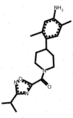 Cc1cc(C2CCN(C(=O)c3nc(C(C)C)no3)CC2)c(C)cc1N